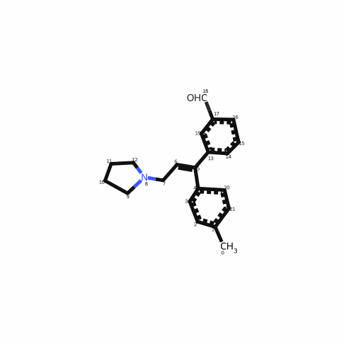 Cc1ccc(/C(=C\CN2CCCC2)c2cccc(C=O)c2)cc1